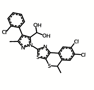 Cc1nn(-c2nc3c(s2)SC(C)c2cc(Cl)c(Cl)cc2-3)c(C(O)O)c1-c1ccccc1Cl